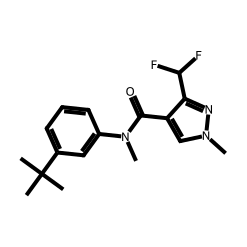 CN(C(=O)c1cn(C)nc1C(F)F)c1cccc(C(C)(C)C)c1